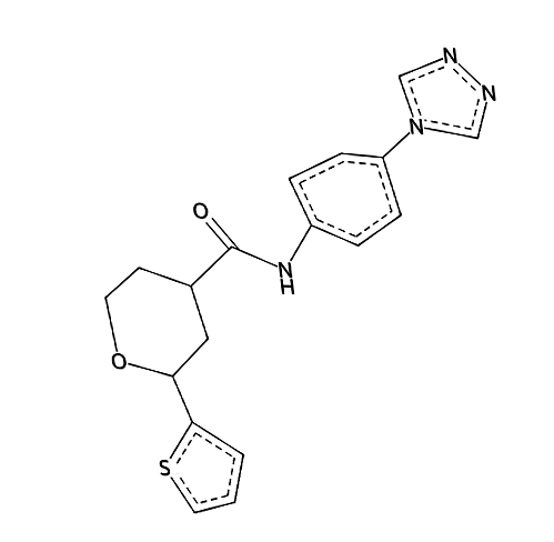 O=C(Nc1ccc(-n2cnnc2)cc1)C1CCOC(c2cccs2)C1